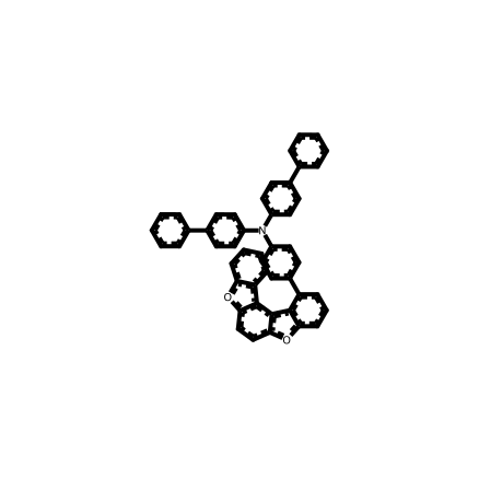 c1ccc(-c2ccc(N(c3ccc(-c4ccccc4)cc3)c3ccc(-c4cccc5oc6ccc7oc8ccccc8c7c6c45)cc3)cc2)cc1